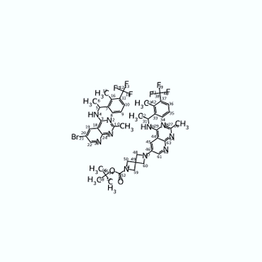 Cc1nc(NC(C)c2cccc(C(F)(F)F)c2C)c2cc(Br)cnc2n1.Cc1nc(NC(C)c2cccc(C(F)(F)F)c2C)c2cc(N3CC4(CN(C(=O)OC(C)(C)C)C4)C3)cnc2n1